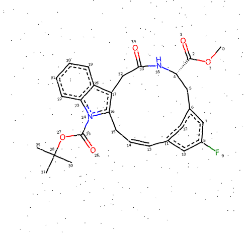 COC(=O)[C@@H]1Cc2cc(F)cc(c2)/C=C\Cc2c(c3ccccc3n2C(=O)OC(C)(C)C)CC(=O)N1